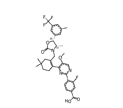 COc1cnc(-c2ccc(C(=O)O)cc2F)nc1C1=C(CN2C(=O)O[C@H](c3cc(C)cc(C(F)(F)F)c3)[C@@H]2C)CC(C)(C)CC1